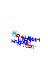 CN(C)C1CCN(c2ncc3cc(NC(=O)COc4ccc(Br)cc4)ccc3n2)CC1.O=C(CCc1ccc(OC(F)(F)F)cc1)Nc1ccc2nc(N3CCNCC3)ncc2c1